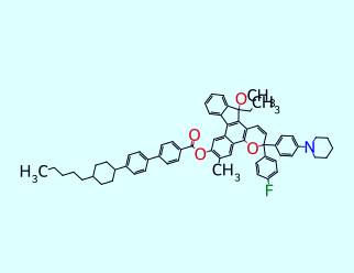 CCCCCC1CCC(c2ccc(-c3ccc(C(=O)Oc4cc5c6c(c7c(c5cc4C)OC(c4ccc(F)cc4)(c4ccc(N5CCCCC5)cc4)C=C7)C(CC)(OC)c4ccccc4-6)cc3)cc2)CC1